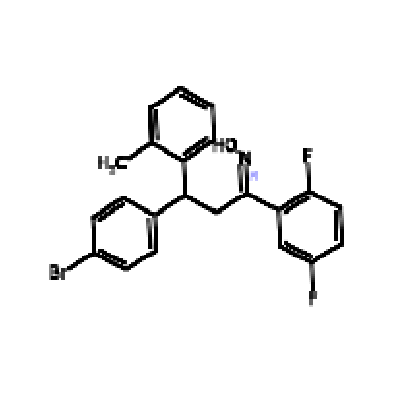 Cc1ccccc1C(C/C(=N\O)c1cc(F)ccc1F)c1ccc(Br)cc1